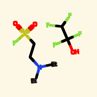 CCN(CC)CCS(=O)(=O)F.OC(F)(F)C(F)F